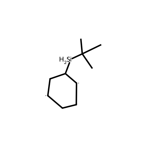 CC(C)(C)[SiH2]C1[CH]CC[CH]C1